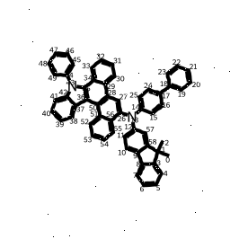 CC1(C)c2ccccc2-c2ccc(N(c3ccc(-c4ccccc4)cc3)c3cc4c5ccccc5c5c(c6ccccc6n5-c5ccccc5)c4c4ccccc34)cc21